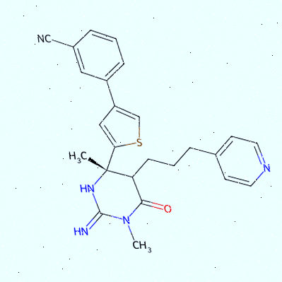 CN1C(=N)N[C@](C)(c2cc(-c3cccc(C#N)c3)cs2)C(CCCc2ccncc2)C1=O